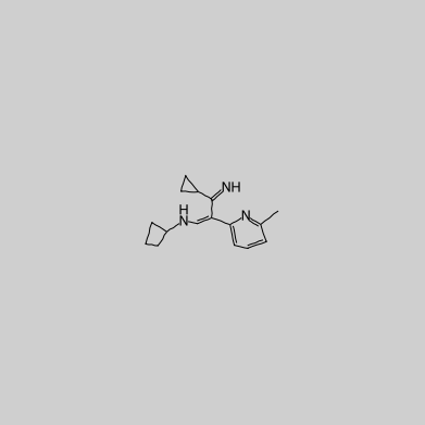 Cc1cccc(/C(=C/NC2CCC2)C(=N)C2CC2)n1